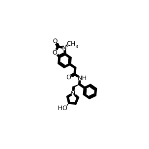 Cn1c(=O)oc2ccc(CC(=O)N[C@H](CN3CC[C@H](O)C3)c3ccccc3)cc21